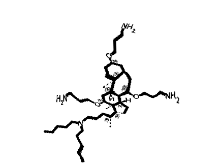 CCCCCN(CCCCC)CCC[C@@H](C)[C@H]1CC[C@H]2C3[C@H](OCCCN)CC4C[C@H](OCCCN)CC[C@]4(C)[C@H]3C[C@H](OCCCN)[C@]12C